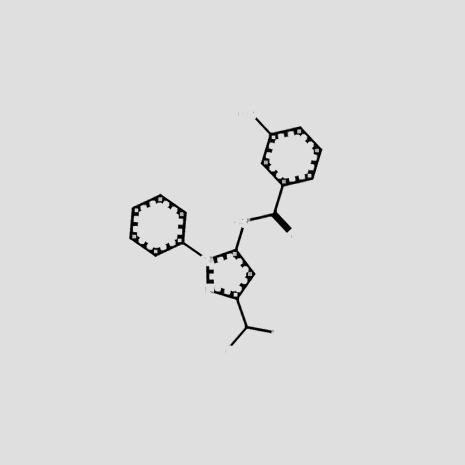 O=C(Nc1cc(C(F)F)nn1-c1ccccc1)c1cccc(O)c1